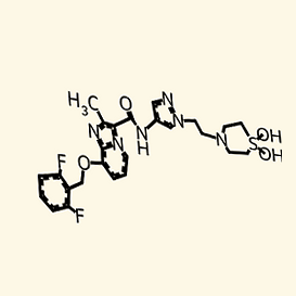 Cc1nc2c(OCc3c(F)cccc3F)cccn2c1C(=O)Nc1cnn(CCN2CCS(O)(O)CC2)c1